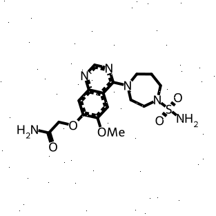 COc1cc2c(N3CCCN(S(N)(=O)=O)CC3)ncnc2cc1OCC(N)=O